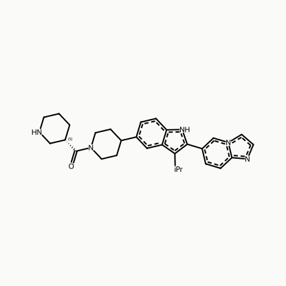 CC(C)c1c(-c2ccc3nccn3c2)[nH]c2ccc(C3CCN(C(=O)[C@H]4CCCNC4)CC3)cc12